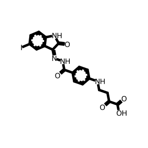 O=C(O)C(=O)CCNc1ccc(C(=O)N/N=C2\C(=O)Nc3ccc(I)cc32)cc1